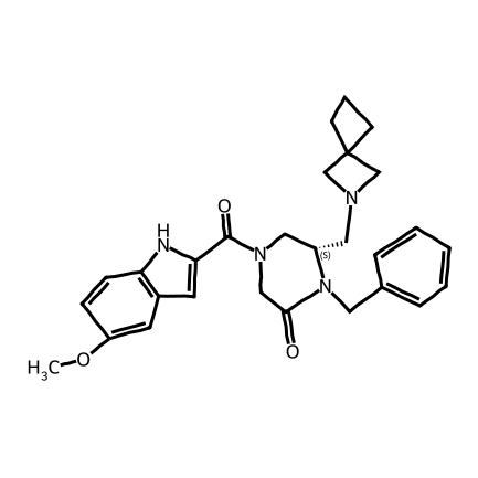 COc1ccc2[nH]c(C(=O)N3CC(=O)N(Cc4ccccc4)[C@@H](CN4CC5(CCC5)C4)C3)cc2c1